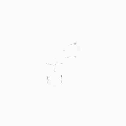 Cc1ccccc1P[C@@](N)(C(=O)O)c1ccccc1